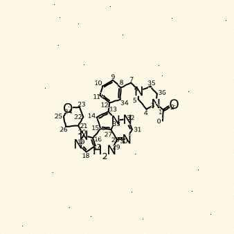 CC(=O)N1CCN(Cc2cccc(-c3cc(-c4ccnn4C4CCOCC4)c4c(N)ncnn34)c2)CC1